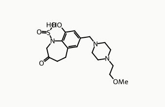 COCCN1CCN(Cc2cc(O)c3c(c2)CCC(=O)CN3S(=O)O)CC1